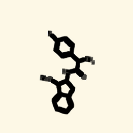 COC1c2ccccc2CC1NC(=O)C(C)c1ccc(F)cc1